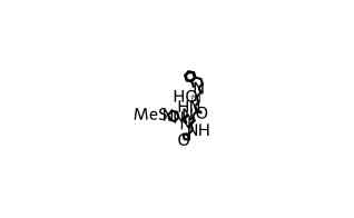 CSN1CCN(c2nc(NC3COC3)cc(C(=O)NC[C@H](O)CN3CCc4ccccc4C3)n2)CC1